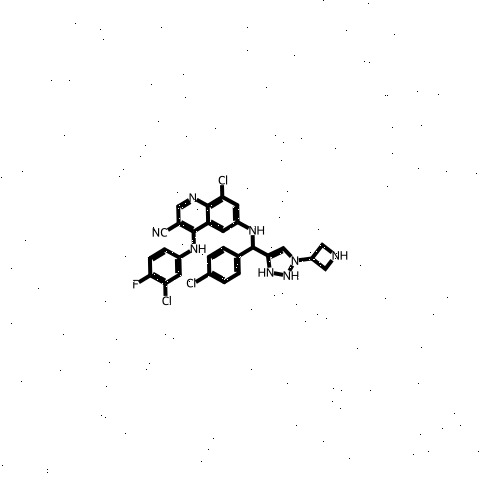 N#Cc1cnc2c(Cl)cc(NC(C3=CN(C4CNC4)NN3)c3ccc(Cl)cc3)cc2c1Nc1ccc(F)c(Cl)c1